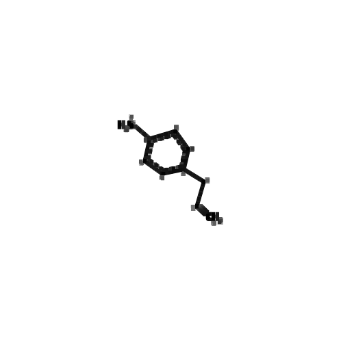 C=CCc1ccc([SiH3])cc1